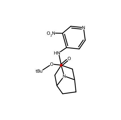 CC(C)(C)OC(=O)N1C2CCC1CC(Nc1ccncc1[N+](=O)[O-])C2